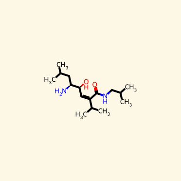 CC(C)CNC(=O)/C(=C\[C@H](O)[C@@H](N)CC(C)C)C(C)C